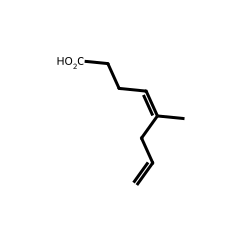 C=CCC(C)=CCCC(=O)O